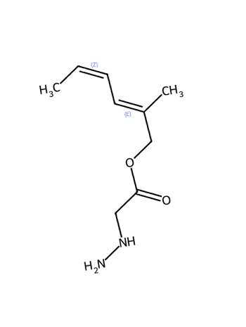 C/C=C\C=C(/C)COC(=O)CNN